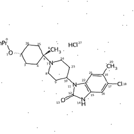 CCCO[C@H]1CC[C@@](C)(N2CCC(n3c(=O)[nH]c4cc(Cl)c(C)cc43)CC2)CC1.Cl